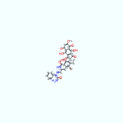 COC1=CC(=O)c2c(O)c3c(c(O)c2C1=O)C(=O)[C@]1(CCc2c1c(O)c1c(=O)[nH]c(/C=N/N(C(N)=O)c4ccccc4)cc1c2Br)C3=O